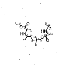 CCOC(=O)C(C)NC(C)CCC(C)(C)COC(=O)C(C)NC(C)C